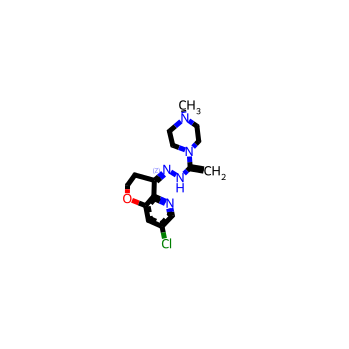 C=C(N/N=C1/CCOc2cc(Cl)cnc21)N1CCN(C)CC1